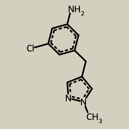 Cn1cc(Cc2cc(N)cc(Cl)c2)cn1